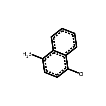 Bc1ccc(Cl)c2ccccc12